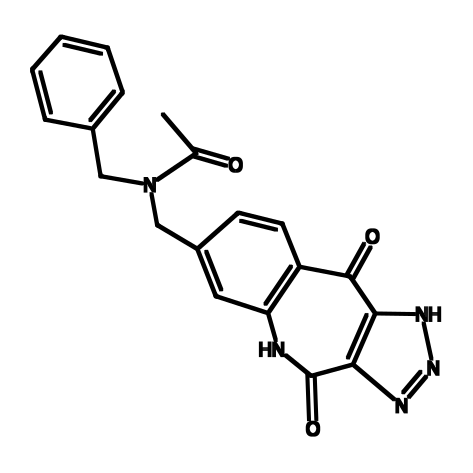 CC(=O)N(Cc1ccccc1)Cc1ccc2c(=O)c3[nH]nnc3c(=O)[nH]c2c1